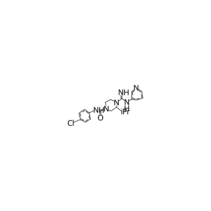 CC(C)C1CN(C(=O)Nc2ccc(Cl)cc2)CCN1C(=N)Nc1cccnc1